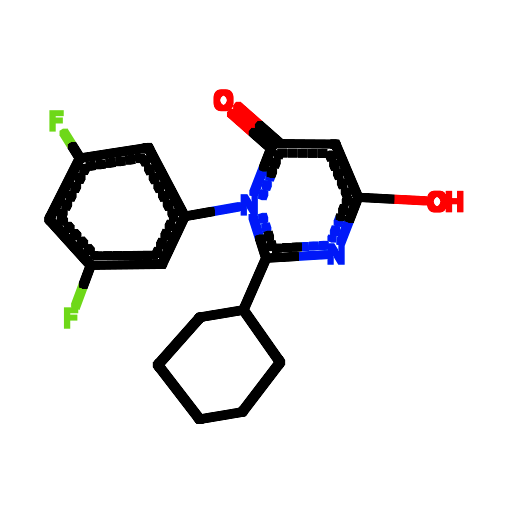 O=c1cc(O)nc(C2CCCCC2)n1-c1cc(F)cc(F)c1